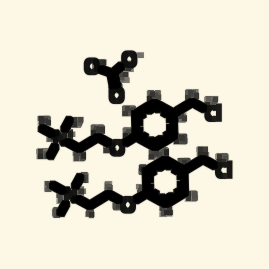 C[N+](C)(C)CCOc1ccc(CCl)cc1.C[N+](C)(C)CCOc1ccc(CCl)cc1.O=C([O-])[O-]